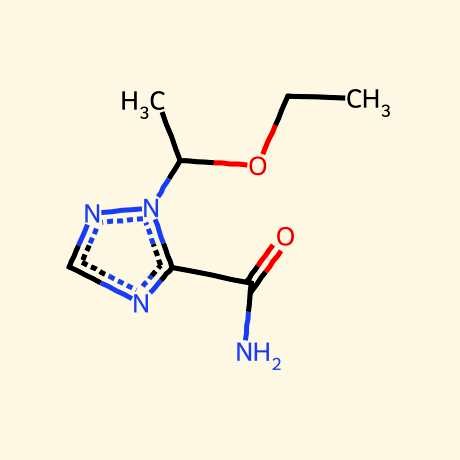 CCOC(C)n1ncnc1C(N)=O